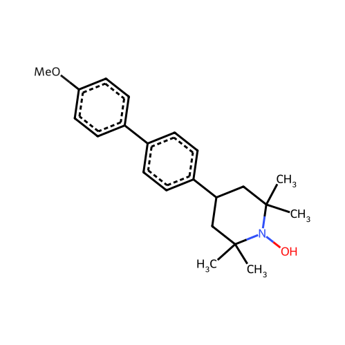 COc1ccc(-c2ccc(C3CC(C)(C)N(O)C(C)(C)C3)cc2)cc1